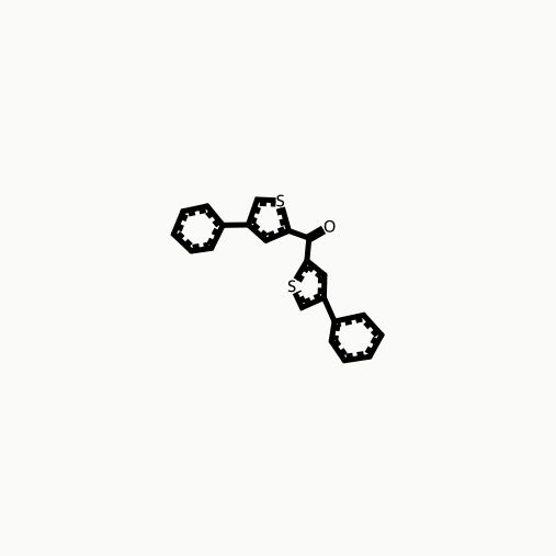 O=C(c1cc(-c2ccccc2)cs1)c1cc(-c2ccccc2)cs1